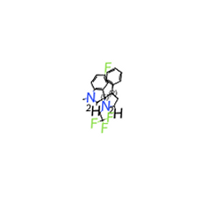 [2H]C1C[C@H](c2ccccc2)[C@@]2(c3cc(F)ccc3N(C)C2[2H])N1CC(F)(F)F